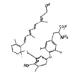 CC1=C(/C=C/C(C)=C/C=C/C(C)=C/CO)C(C)(C)CCC1.NC(Cc1cc(I)c(Oc2cc(I)c(O)c(I)c2)c(I)c1)C(=O)O